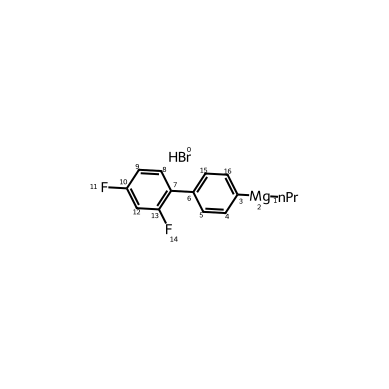 Br.CC[CH2][Mg][c]1ccc(-c2ccc(F)cc2F)cc1